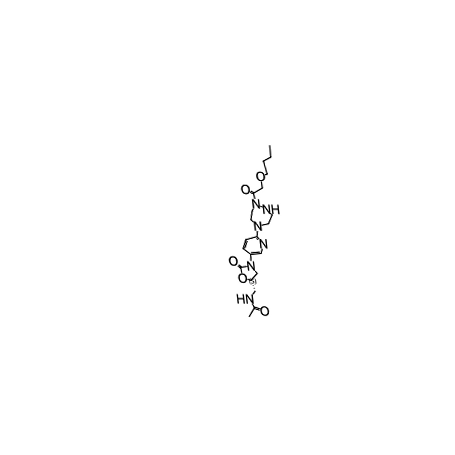 CCCCOCC(=O)N1CCN(c2ccc(N3C[C@H](CNC(C)=O)OC3=O)cn2)CCN1